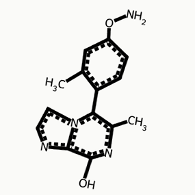 Cc1cc(ON)ccc1-c1c(C)nc(O)c2nccn12